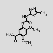 COc1cc(OC)c(C(C)=O)cc1NC(=O)Nc1nnc(C)s1